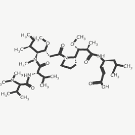 CC[C@H](C)[C@@H]([C@@H](CC(=O)N1CCC[C@H]1[C@H](OC)[C@@H](C)C(=O)N[C@H](/C=C/C(=O)O)CC(C)C)OC)N(C)C(=O)[C@@H](NC(=O)C(C(C)C)N(C)C)C(C)C